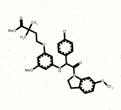 COC(=O)C(C)(C)CCOc1cc(NC(C(=O)N2CCc3ccc(OC(F)(F)F)cc32)c2ccc(Cl)cc2)cc(OC)c1